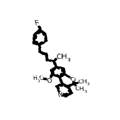 COc1cc(C(C)CCCc2ccc(F)cc2)cc2c1-c1cnccc1C(C)(C)O2